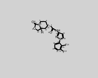 O=C(C[C@H]1CCN2C(=O)OC[C@H]2C1)Nc1ccn(-c2cccc(F)c2F)n1